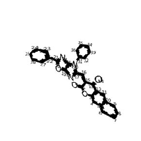 O=C1Oc2cc3ccccc3cc2C(=O)/C1=C/c1nc2oc(-c3ccccc3)nc2n1-c1ccccc1